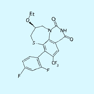 CCO[C@@H]1CSc2c(-c3ccc(F)cc3F)c(C(F)(F)F)cc3c(=O)[nH]c(=O)n(c23)C1